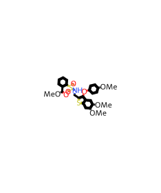 COC(=O)c1ccccc1S(=O)(=O)NCc1sc2cc(OC)c(OC)cc2c1Oc1ccc(OC)cc1